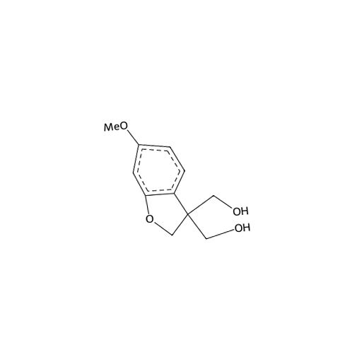 COc1ccc2c(c1)OCC2(CO)CO